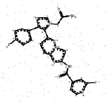 NC(=O)Cn1cnc(-c2ccc(F)cc2)c1-c1ccc2nc(NC(=O)c3ccnc(F)c3)cn2n1